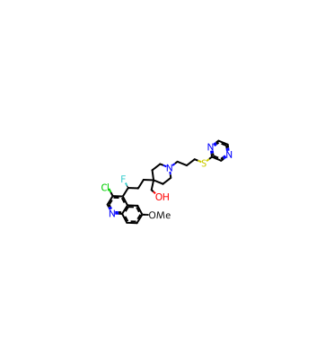 COc1ccc2ncc(Cl)c([C@@H](F)CCC3(CO)CCN(CCCSc4cnccn4)CC3)c2c1